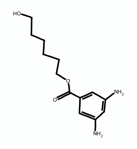 Nc1cc(N)cc(C(=O)OCCCCCCO)c1